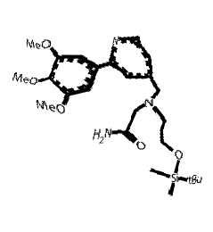 COc1cc(-c2cc(CN(CCO[Si](C)(C)C(C)(C)C)CC(N)=O)ccn2)cc(OC)c1OC